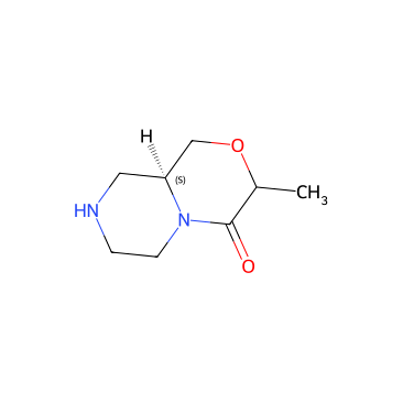 CC1OC[C@@H]2CNCCN2C1=O